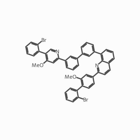 COc1cc(-c2ccc3cccc(-c4cccc(-c5cccc(-c6cc(OC)c(-c7ccccc7Br)cn6)c5)c4)c3n2)ccc1-c1ccccc1Br